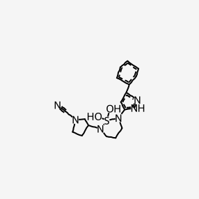 N#CN1CCC(N2CCCN(c3cc(-c4ccccc4)n[nH]3)S2(O)O)C1